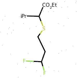 CCOC(=O)C(SCCC(F)F)C(C)C